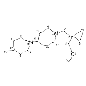 COCC1(CN2CCC(N3CCC(C)CC3)CC2)CC1